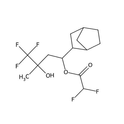 CC(O)(CC(OC(=O)C(F)F)C1CC2CCC1C2)C(F)(F)F